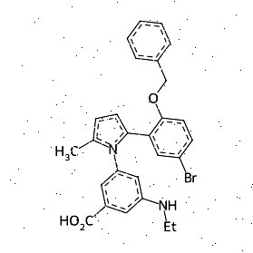 CCNc1cc(C(=O)O)cc(-n2c(C)ccc2-c2cc(Br)ccc2OCc2ccccc2)c1